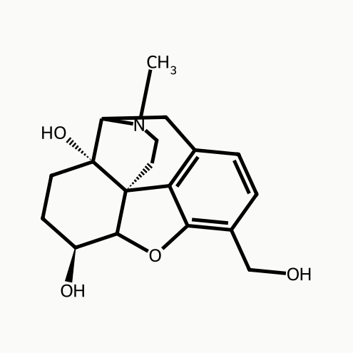 CN1CC[C@]23c4c5ccc(CO)c4OC2[C@@H](O)CC[C@@]3(O)C1C5